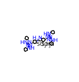 Nc1cc(-c2nc(Nc3ccccc3)nc(Nc3ccccc3)n2)cc(S(=O)(=O)O)c1C=Cc1ccc(-c2nc(Nc3ccccc3)nc(Nc3ccccc3)n2)cc1S(=O)(=O)O